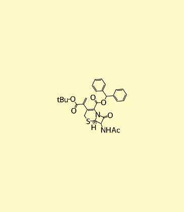 C=C(C(=O)OC(C)(C)C)C1=C(C(=O)OC(c2ccccc2)c2ccccc2)N2C(=O)C(NC(C)=O)[C@H]2SC1